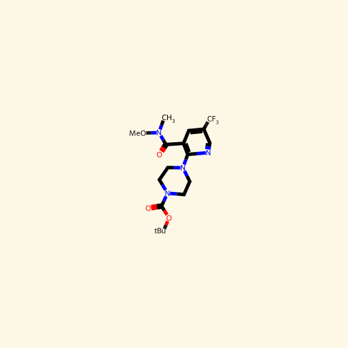 CON(C)C(=O)c1cc(C(F)(F)F)cnc1N1CCN(C(=O)OC(C)(C)C)CC1